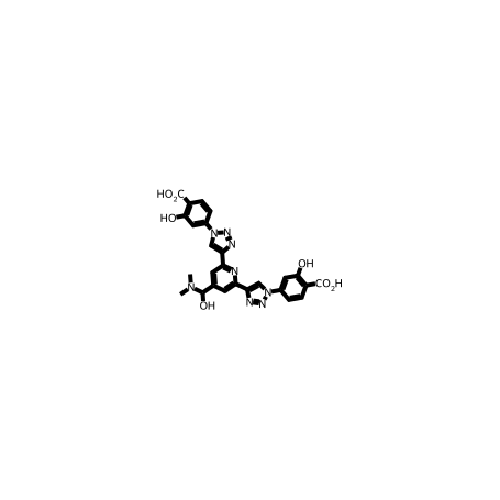 CN(C)C(O)c1cc(-c2cn(-c3ccc(C(=O)O)c(O)c3)nn2)nc(-c2cn(-c3ccc(C(=O)O)c(O)c3)nn2)c1